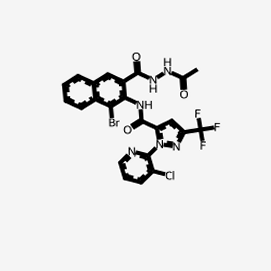 CC(=O)NNC(=O)c1cc2ccccc2c(Br)c1NC(=O)c1cc(C(F)(F)F)nn1-c1ncccc1Cl